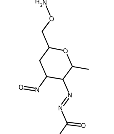 CC(=O)N=NC1C(N=O)CC(CON)OC1C